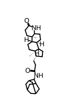 C[C@]12CC[C@H]3[C@@H](CCC4NC(=O)CC[C@@]43C)[C@@H]1CC[C@@H]2CCC(=O)NC1C2CC3CC(C2)CC1C3